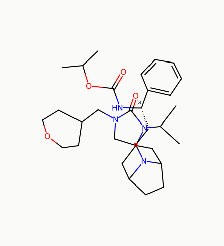 CC(C)OC(=O)N[C@@H](CCN1C2CCC1CC1(C2)CN(CC2CCOCC2)C(=O)N1C(C)C)c1ccccc1